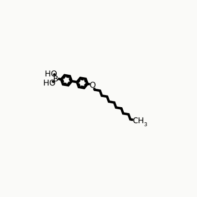 CCCCCCCCCCCCOc1ccc(-c2ccc(B(O)O)cc2)cc1